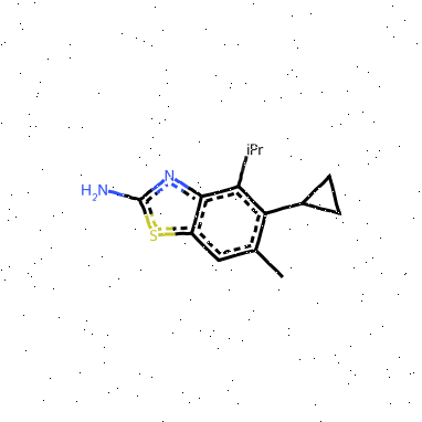 Cc1cc2sc(N)nc2c(C(C)C)c1C1CC1